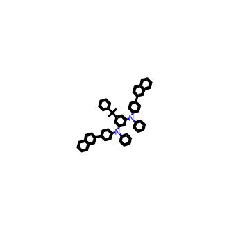 CC(C)(c1ccccc1)c1cc(N(c2ccccc2)c2ccc(-c3ccc4ccccc4c3)cc2)cc(N(c2ccccc2)c2ccc(-c3ccc4ccccc4c3)cc2)c1